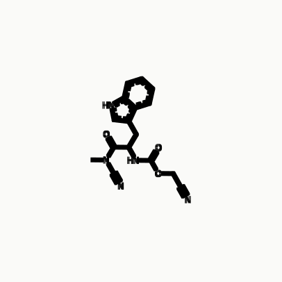 CN(C#N)C(=O)C(Cc1c[nH]c2ccccc12)NC(=O)OCC#N